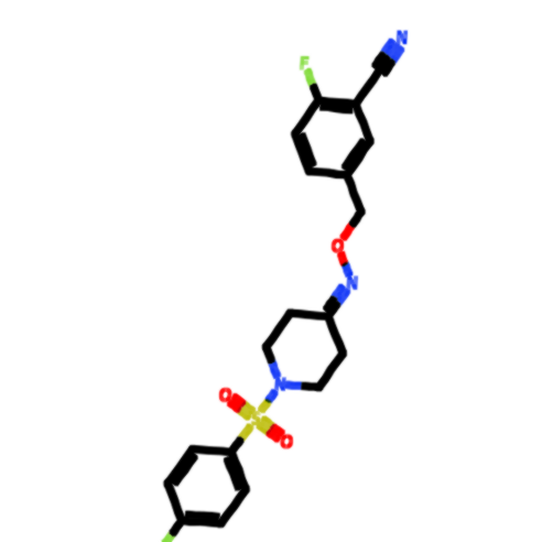 N#Cc1cc(CON=C2CCN(S(=O)(=O)c3ccc(F)cc3)CC2)ccc1F